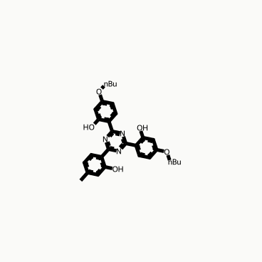 CCCCOc1ccc(-c2nc(-c3ccc(C)cc3O)nc(-c3ccc(OCCCC)cc3O)n2)c(O)c1